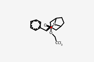 O=C(OCC(Cl)(Cl)Cl)N1C2CCC1CC(=Cc1ccccc1)C2